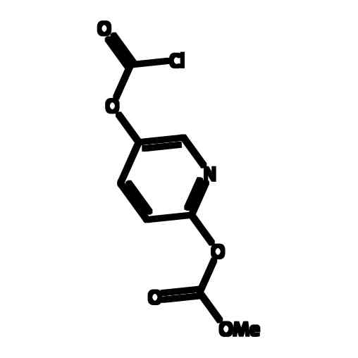 COC(=O)Oc1ccc(OC(=O)Cl)cn1